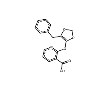 O=C(O)c1cccnc1OC1=C(Cc2ccccc2)OCO1